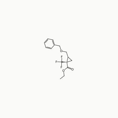 CCOC(=O)[C@@]1(C(F)(F)F)CC1COCc1ccccc1